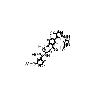 COc1cc(C(CO)NC(=O)CN2C(=O)c3cc(-c4nc(Nc5cnn(C)n5)ncc4Cl)ccc3[C@H]2C)ccn1